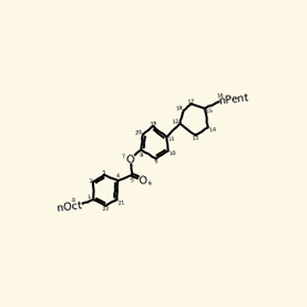 CCCCCCCCc1ccc(C(=O)Oc2ccc(C3CCC(CCCCC)CC3)cc2)cc1